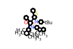 CC(C)(C)c1ccc(N2B3c4cc5c(cc4-n4c6cc7c(cc6c6c8oc9ccccc9c8c(c3c64)-c3cc4c(cc32)sc2ccccc24)C(C)(C)CCC7(C)C)C(C)(C)c2ccccc2-5)cc1